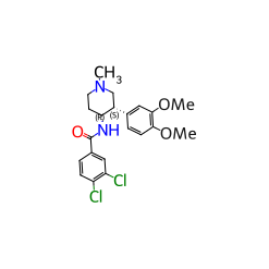 COc1ccc([C@H]2CN(C)CC[C@H]2NC(=O)c2ccc(Cl)c(Cl)c2)cc1OC